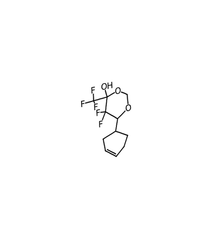 OC1(C(F)(F)F)OCOC(C2CC=CCC2)C1(F)F